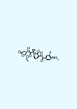 CCO[C@H]1OC(=O)C[C@@H]1NC(=O)C1(n2cccc(NC(=O)c3ccc(N)c(F)c3)c2=O)CC1